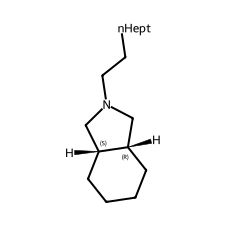 CCCCCCCCCN1C[C@H]2CCCC[C@H]2C1